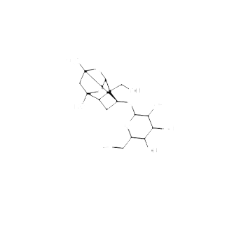 CC12CC3(O)OC(O1)C1(CO)C3CC21OC1OC(CO)C(O)C(O)C1O